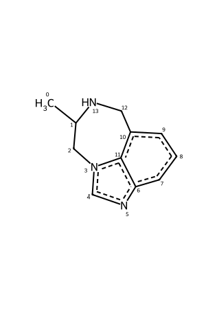 CC1Cn2[c]nc3cccc(c32)CN1